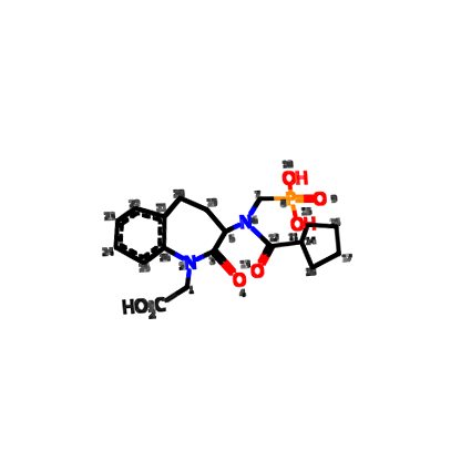 O=C(O)CN1C(=O)C(N(CP(=O)(O)O)C(=O)C2CCCC2)CCc2ccccc21